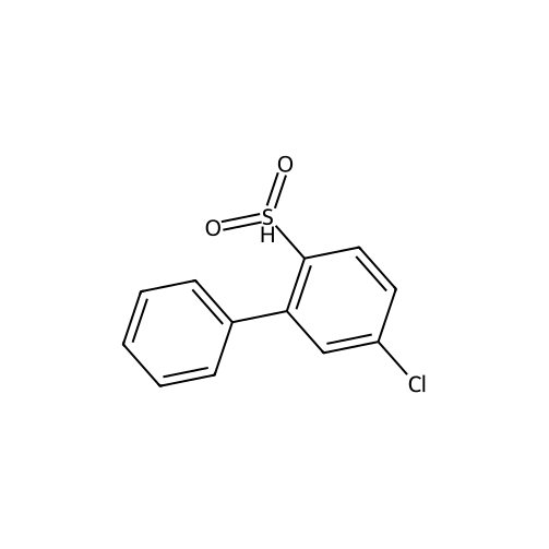 O=[SH](=O)c1ccc(Cl)cc1-c1ccccc1